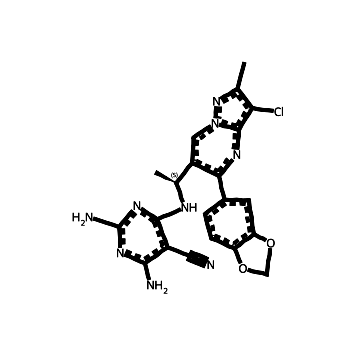 Cc1nn2cc([C@H](C)Nc3nc(N)nc(N)c3C#N)c(-c3ccc4c(c3)OCO4)nc2c1Cl